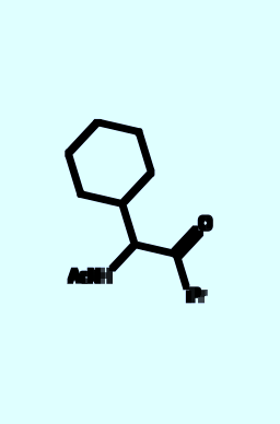 CC(=O)NC(C(=O)C(C)C)C1CCCCC1